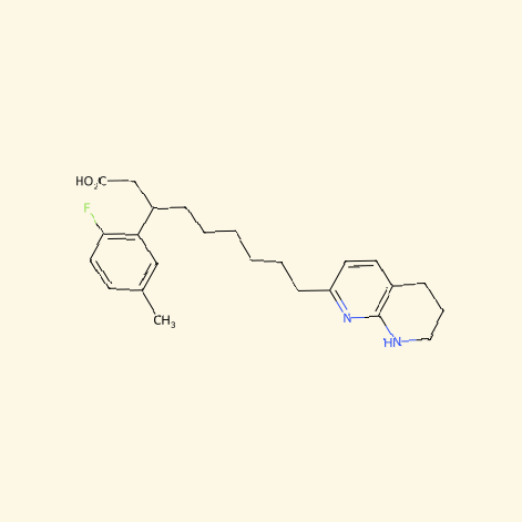 Cc1ccc(F)c(C(CCCCCCc2ccc3c(n2)NCCC3)CC(=O)O)c1